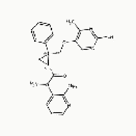 COc1ncccc1N(N)C(=O)[C@@H]1C[C@@]1(COc1cnc(C)nc1C)c1ccccc1